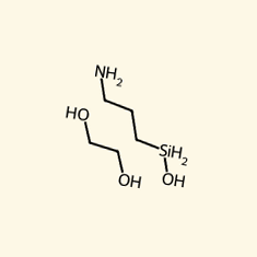 NCCC[SiH2]O.OCCO